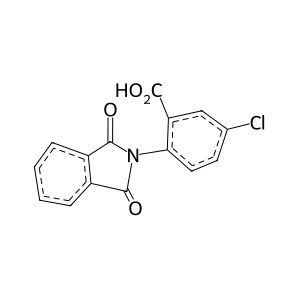 O=C(O)c1cc(Cl)ccc1N1C(=O)c2ccccc2C1=O